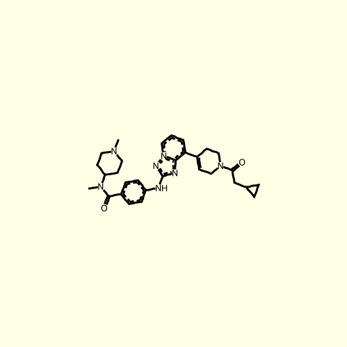 CN1CCC(N(C)C(=O)c2ccc(Nc3nc4c(C5=CCN(C(=O)CC6CC6)CC5)cccn4n3)cc2)CC1